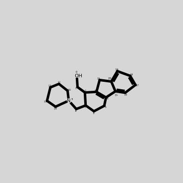 OCC1C2=C(CCC1CN1CCCCC1)c1ccccc1C2